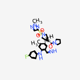 Cc1cc(Nc2ccc(F)cc2)c(C=N)cc1[C@]12CN(S(=O)(=O)c3cnn(C)n3)C[C@H]1[C@@H]2C(=O)N1CCCC1